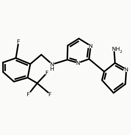 Nc1ncccc1-c1nccc(NCc2c(F)cccc2C(F)(F)F)n1